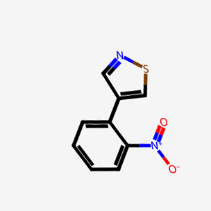 O=[N+]([O-])c1ccccc1-c1cnsc1